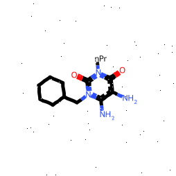 CCCn1c(=O)c(N)c(N)n(CC2CCCCC2)c1=O